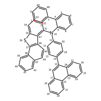 c1ccc(-c2ccccc2N(c2ccc(-c3cc4ccccc4c4ccccc34)cc2)c2cccc3sc4c5ccccc5ccc4c23)cc1